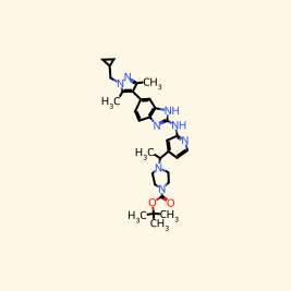 Cc1nn(CC2CC2)c(C)c1-c1ccc2nc(Nc3cc(C(C)N4CCN(C(=O)OC(C)(C)C)CC4)ccn3)[nH]c2c1